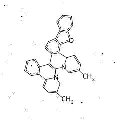 CC1=CN2C3=C(c4ccccc4C4=CC=C(C)CN43)c3ccc4c(oc5ccccc54)c3C2C=C1